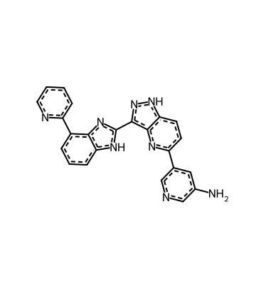 Nc1cncc(-c2ccc3[nH]nc(-c4nc5c(-c6ccccn6)cccc5[nH]4)c3n2)c1